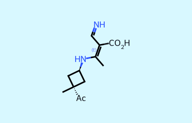 C/C(N[C@H]1C[C@](C)(C(C)=O)C1)=C(/C=N)C(=O)O